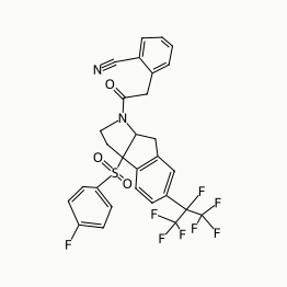 N#Cc1ccccc1CC(=O)N1CCC2(S(=O)(=O)c3ccc(F)cc3)c3ccc(C(F)(C(F)(F)F)C(F)(F)F)cc3CC12